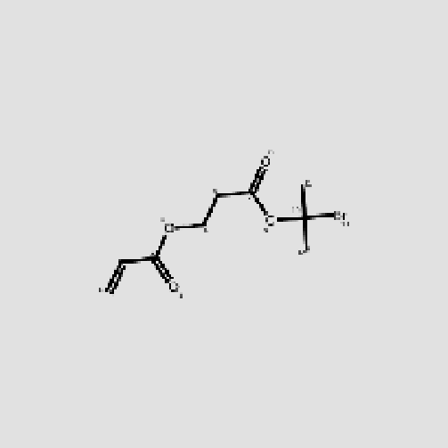 C=CC(=O)OCCC(=O)OC(C)(C)Br